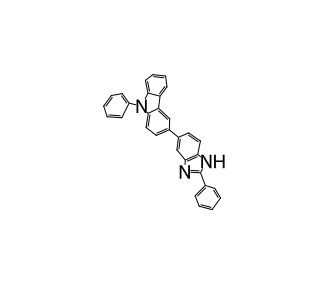 c1ccc(-c2nc3cc(-c4ccc5c(c4)c4ccccc4n5-c4ccccc4)ccc3[nH]2)cc1